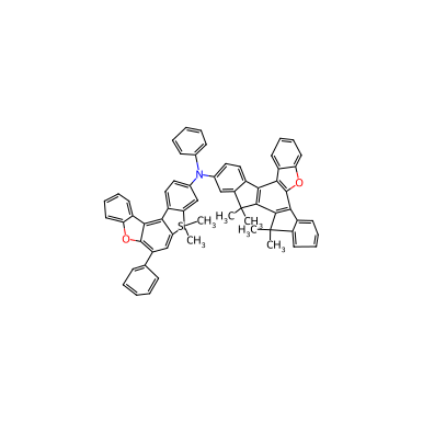 CC1(C)c2ccccc2-c2c1c1c(c3c2oc2ccccc23)-c2ccc(N(c3ccccc3)c3ccc4c(c3)[Si](C)(C)c3cc(-c5ccccc5)c5oc6ccccc6c5c3-4)cc2C1(C)C